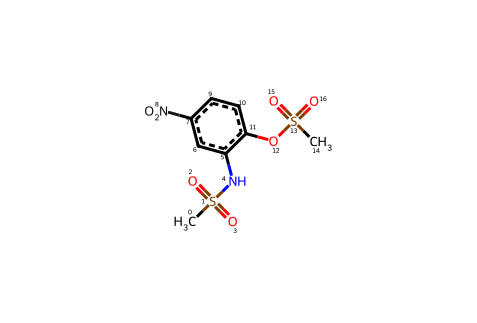 CS(=O)(=O)Nc1cc([N+](=O)[O-])ccc1OS(C)(=O)=O